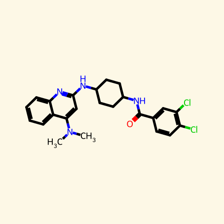 CN(C)c1cc(NC2CCC(NC(=O)c3ccc(Cl)c(Cl)c3)CC2)nc2ccccc12